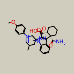 COc1ccc(NCC(CC(C)C)NC(=O)[C@@H]2CCCC[C@@]2(C(N)=O)c2c(C(=O)O)n(C)c3ccccc23)cc1